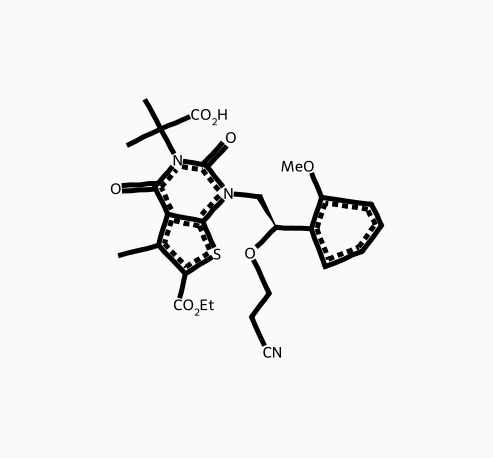 CCOC(=O)c1sc2c(c1C)c(=O)n(C(C)(C)C(=O)O)c(=O)n2C[C@H](OCCC#N)c1ccccc1OC